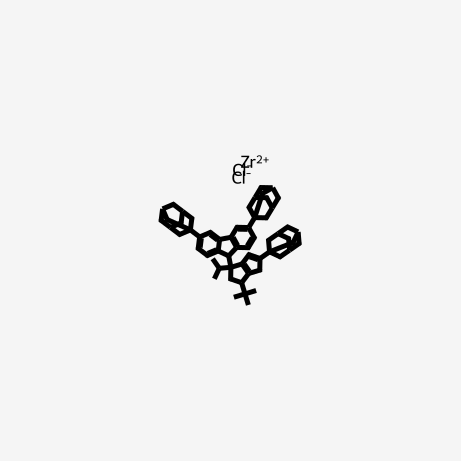 CC(C)C1(C2c3ccc(C45CC6CC(CC(C6)C4)C5)cc3-c3cc(C45CC6CC(CC(C6)C4)C5)ccc32)CC(C(C)(C)C)C2=C1C=C(C13CC4CC(CC(C4)C1)C3)C2.[Cl-].[Cl-].[Zr+2]